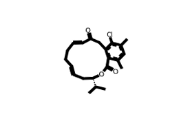 Cc1cc(C)c2c(c1Cl)CC(=O)/C=C/CC/C=C/C[C@@H](C(C)C)OC2=O